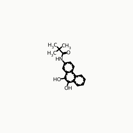 CC(C)(C)C(=O)Nc1ccc2c(c1)c(O)c(O)c1ccccc12